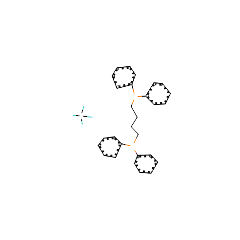 F[B-](F)(F)F.c1ccc(P(CCCCP(c2ccccc2)c2ccccc2)c2ccccc2)cc1